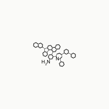 Nc1ccc(-c2cc3ccccc3c3ccc4c(c23)-c2ccccc2[C@H]4c2ccc3ccccc3c2)c(C2=NC(c3ccccc3)=CC(c3cccc(-c4ccccc4)c3)=C=C2)c1